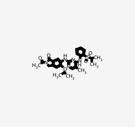 CC(=O)N1Cc2cc(OC(C)C)c(Nc3ncc(C)c(Nc4ccccc4S(=O)(=O)C(C)C)n3)cc2C1=O